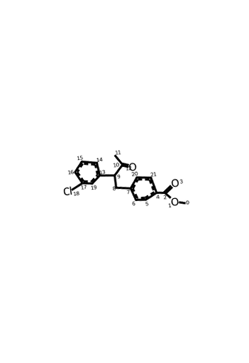 COC(=O)c1ccc(CC(C(C)=O)c2cccc(Cl)c2)cc1